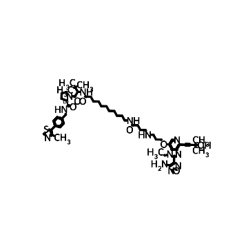 CCn1c(-c2nonc2N)nc2c(C#CC(C)(C)O)ncc(OCCCNCCCC(=O)NCCCCCCCCCCC(=O)NC(C(=O)N3CCC[C@H]3C(=O)NCc3ccc(-c4scnc4C)cc3)C(C)(C)C)c21